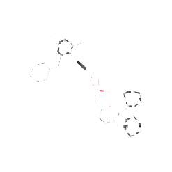 Cc1cc(C)c(C#CCO[PH](=O)CC(CC(=O)O)O[Si](c2ccccc2)(c2ccccc2)C(C)(C)C)c(CC2CCCCC2)c1